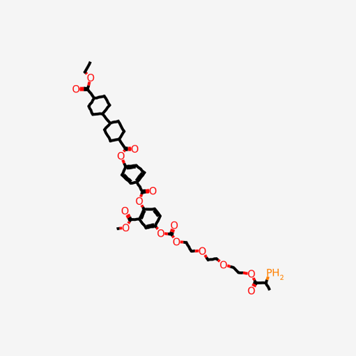 CCOC(=O)C1CCC(C2CCC(C(=O)Oc3ccc(C(=O)Oc4ccc(OC(=O)OCCOCCOCCOC(=O)C(C)P)cc4C(=O)OC)cc3)CC2)CC1